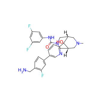 CN1C[C@@H]2CN(C(=O)Nc3cc(F)cc(F)c3)C[C@H](C1)[C@@]2(O)c1ccc(-c2ccc(CN)c(F)c2)cn1